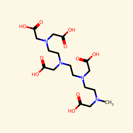 CN(CCN(CCN(CCN(CC(=O)O)CC(=O)O)CC(=O)O)CC(=O)O)CC(=O)O